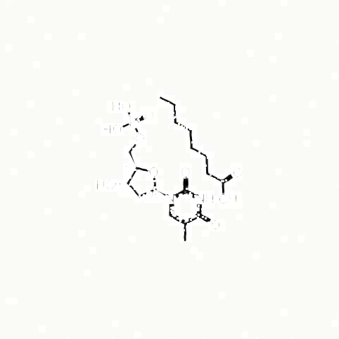 CCCCCCCC(=O)O.Cc1cn([C@H]2C[C@H](O)[C@@H](COP(=O)(O)O)O2)c(=O)[nH]c1=O